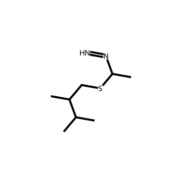 CC(N=N)SCC(C)C(C)C